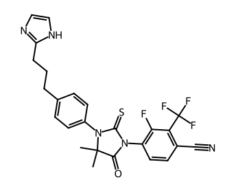 CC1(C)C(=O)N(c2ccc(C#N)c(C(F)(F)F)c2F)C(=S)N1c1ccc(CCCc2ncc[nH]2)cc1